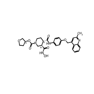 Cc1cc(COc2ccc(NC(=O)[C@H]3CCN(C(=O)O[C@H]4CCOC4)C[C@@H]3C(=O)NO)cc2)c2ccccc2n1